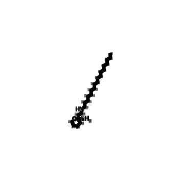 CCCCCCCCCCCCCCCCCCNCCC1([SiH3])CCCCO1